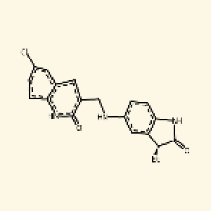 CC[C@@H]1C(=O)Nc2ccc(NCc3cc4cc(Cl)ccc4[nH]c3=O)cc21